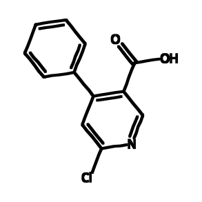 O=C(O)c1cnc(Cl)cc1-c1ccccc1